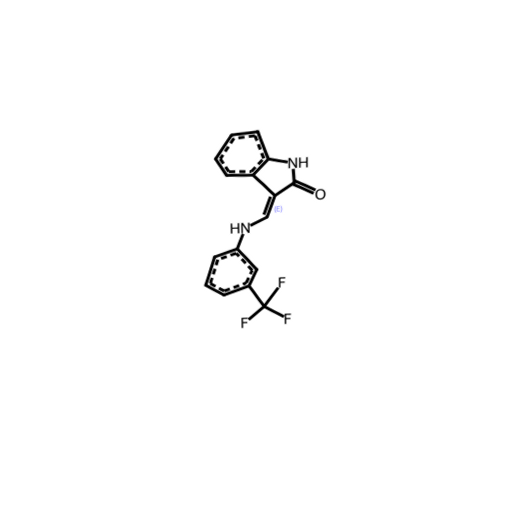 O=C1Nc2ccccc2/C1=C\Nc1cccc(C(F)(F)F)c1